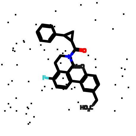 COc1ccc(CC(=O)O)cc1-c1ccc(F)c2c1CN(C(=O)C1CC1c1ccccc1)CC2